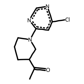 CC(=O)C1CCCN(c2cc(Cl)ncn2)C1